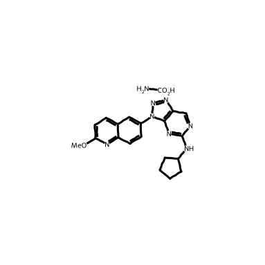 COc1ccc2cc(-n3nnc4cnc(NC5CCCC5)nc43)ccc2n1.NC(=O)O